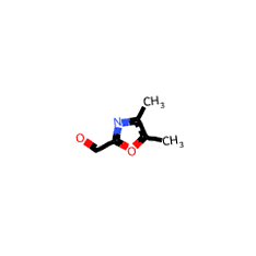 Cc1nc(C=O)oc1C